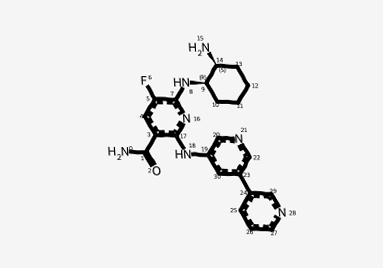 NC(=O)c1cc(F)c(N[C@@H]2CCCC[C@@H]2N)nc1Nc1cncc(-c2cccnc2)c1